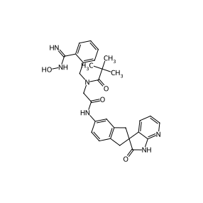 CC(C)(C)C(=O)N(CC(=O)Nc1ccc2c(c1)CC1(C2)C(=O)Nc2ncccc21)Cc1ccccc1C(=N)NO